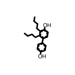 CCCCc1c(O)ccc(-c2ccc(O)cc2)c1CCCC